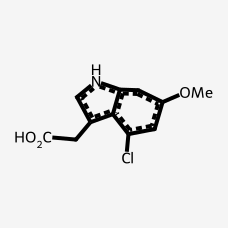 COc1cc(Cl)c2c(CC(=O)O)c[nH]c2c1